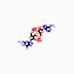 Nc1nc2c(ncn2C2OC3COP(=O)(O)OC4C(COP(=O)(O)OC2C3CO)OC(n2cnc3c(N)ncnc32)C4O)c(=O)[nH]1